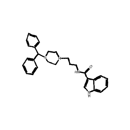 O=C(NCCCN1CCN(C(c2ccccc2)c2ccccc2)CC1)c1c[nH]c2ccccc12